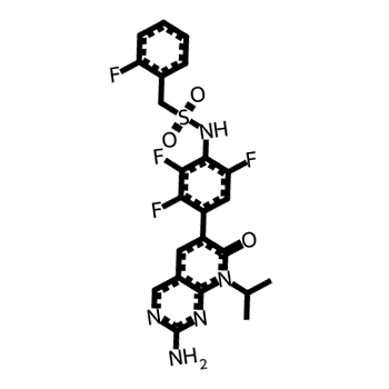 CC(C)n1c(=O)c(-c2cc(F)c(NS(=O)(=O)Cc3ccccc3F)c(F)c2F)cc2cnc(N)nc21